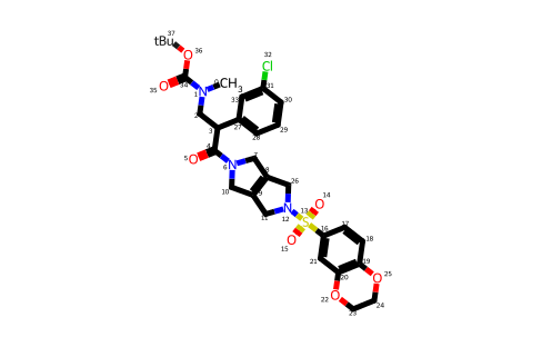 CN(CC(C(=O)N1CC2=C(C1)CN(S(=O)(=O)c1ccc3c(c1)OCCO3)C2)c1cccc(Cl)c1)C(=O)OC(C)(C)C